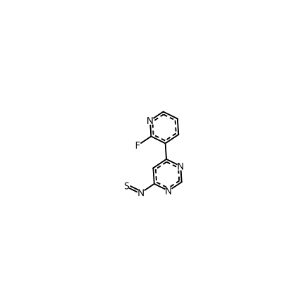 Fc1ncccc1-c1cc(N=S)ncn1